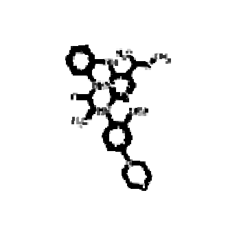 C=CC(=O)Nc1ccccc1Nc1nc(Nc2ccc(N3CCOCC3)cc2OC)ncc1/C(C)=N/C